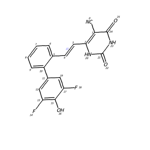 N#Cc1c(/C=C/c2ccccc2-c2cc(F)c(O)c(F)c2)[nH]c(=O)[nH]c1=O